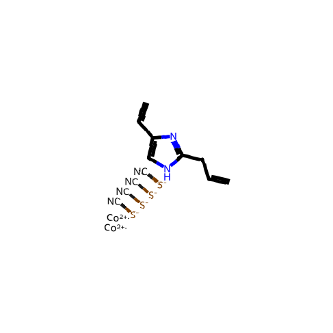 C=CCc1nc(C=C)c[nH]1.N#C[S-].N#C[S-].N#C[S-].N#C[S-].[Co+2].[Co+2]